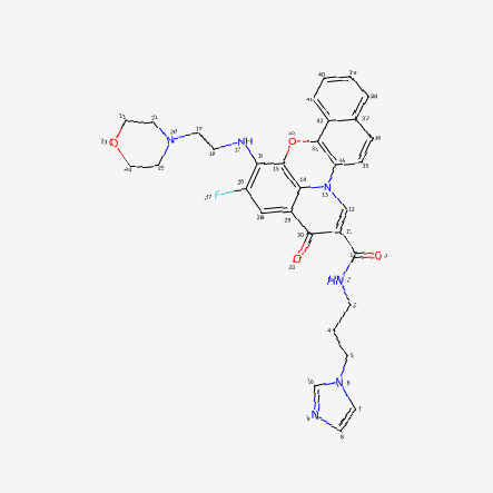 O=C(NCCCn1ccnc1)c1cn2c3c(c(NCCN4CCOCC4)c(F)cc3c1=O)Oc1c-2ccc2ccccc12